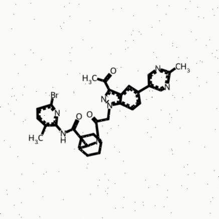 CC(=O)c1nn(CC(=O)N2C3CCC(CC3)C2C(=O)Nc2nc(Br)ccc2C)c2ccc(-c3cnc(C)nc3)cc12